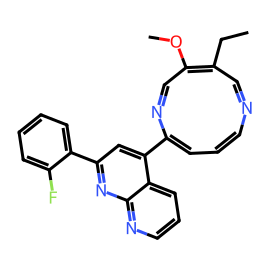 CCc1cncccc(-c2cc(-c3ccccc3F)nc3ncccc23)ncc1OC